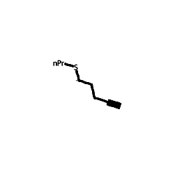 C#CCC[CH]SCCC